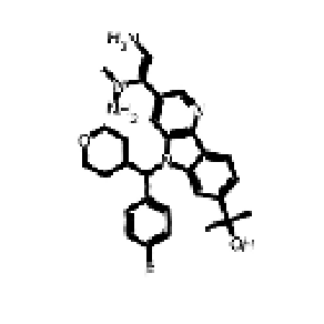 CN(N)/C(=C\N)c1cnc2c3ccc(C(C)(C)O)cc3n(C(c3ccc(F)cc3)C3CCOCC3)c2c1